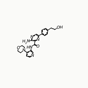 Nc1ncc(-c2ccc(CCO)cc2)nc1C(=O)Nc1cnccc1N1CCOCC1